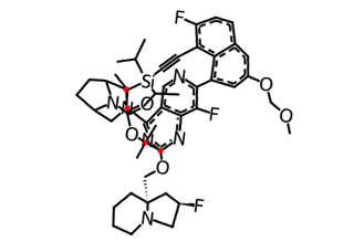 COCOc1cc(-c2ncc3c(N4CC5CCC(C4)N5C(=O)OC(C)(C)C)nc(OC[C@@]45CCCCN4C[C@H](F)C5)nc3c2F)c2c(C#C[Si](C(C)C)(C(C)C)C(C)C)c(F)ccc2c1